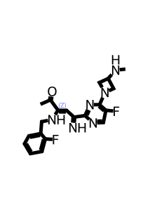 CNC1CN(c2nc(C(=N)/C=C(\NCc3ccccc3F)C(C)=O)ncc2F)C1